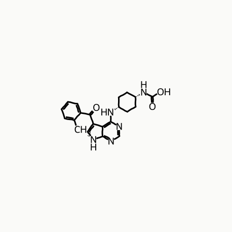 Cc1ccccc1C(=O)c1c[nH]c2ncnc(N[C@H]3CC[C@@H](NC(=O)O)CC3)c12